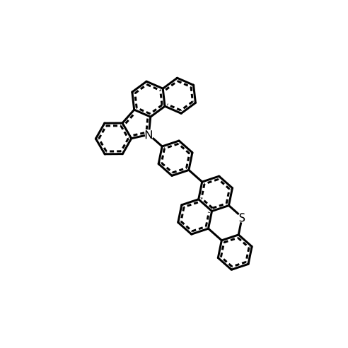 c1ccc2c(c1)Sc1ccc(-c3ccc(-n4c5ccccc5c5ccc6ccccc6c54)cc3)c3cccc-2c13